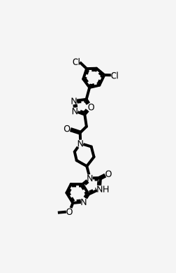 COc1ccc2c(n1)[nH]c(=O)n2C1CCN(C(=O)Cc2nnc(-c3cc(Cl)cc(Cl)c3)o2)CC1